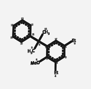 CCc1cc(CC)c(OC)c(C(C)(C)c2ccccc2)c1